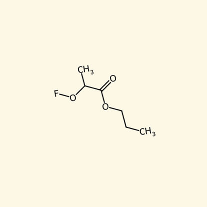 CCCOC(=O)C(C)OF